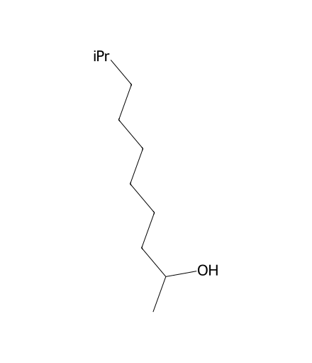 CC(C)CCCCCCC(C)O